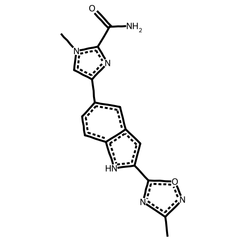 Cc1noc(-c2cc3cc(-c4cn(C)c(C(N)=O)n4)ccc3[nH]2)n1